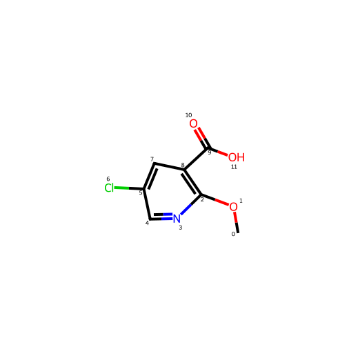 COc1ncc(Cl)cc1C(=O)O